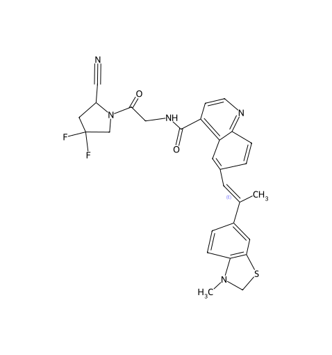 C/C(=C\c1ccc2nccc(C(=O)NCC(=O)N3CC(F)(F)CC3C#N)c2c1)c1ccc2c(c1)SCN2C